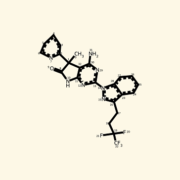 CC1(c2ccccn2)C(=O)Nc2nc(-n3nc(CCC(F)(F)C(F)(F)F)c4ccccc43)nc(N)c21